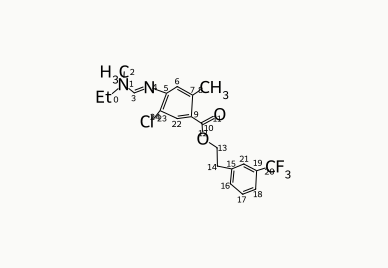 CCN(C)/C=N/c1cc(C)c(C(=O)OCCc2cccc(C(F)(F)F)c2)cc1Cl